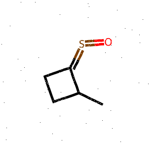 CC1CCC1=S=O